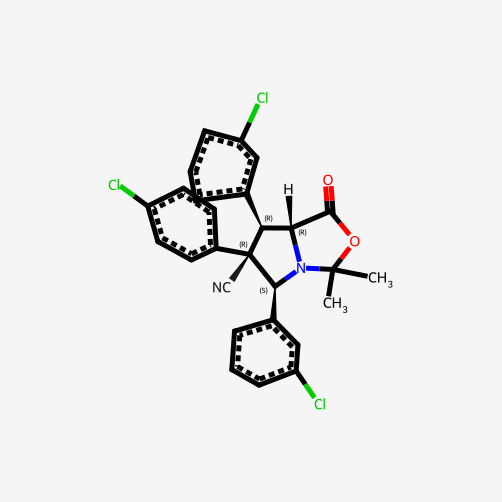 CC1(C)OC(=O)[C@H]2[C@H](c3cccc(Cl)c3)[C@@](C#N)(c3ccc(Cl)cc3)[C@H](c3cccc(Cl)c3)N21